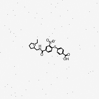 CCN1CCCC1CNC(=O)c1ccc(Sc2ccc(C(=O)O)cc2)c([N+](=O)[O-])c1